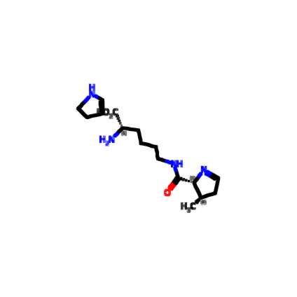 C1=CNCC1.C[C@@H]1CC=N[C@H]1C(=O)NCCCC[C@H](N)C(=O)O